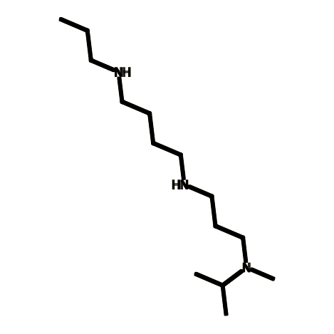 CCCNCCCCNCCCN(C)C(C)C